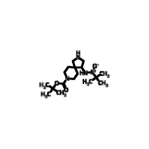 CC(C)(C)OC(=O)N1CCC2(CC1)CNCC2N[S@+]([O-])C(C)(C)C